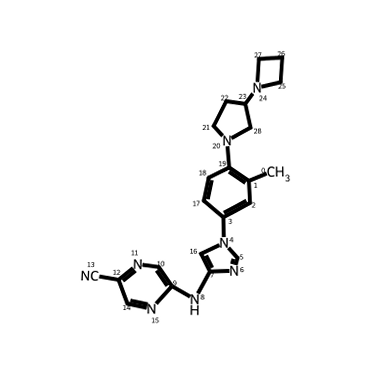 Cc1cc(-n2cnc(Nc3cnc(C#N)cn3)c2)ccc1N1CCC(N2CCC2)C1